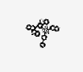 C1=CC(c2ccccc2)CC=C1c1nc(-c2ccc3ccccc3c2)nc(-c2cc(-c3cc4ccccc4c4sc5ccccc5c34)cc3oc4ccccc4c23)n1